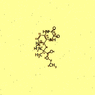 CCOC(=O)C(C)(N)Cc1c(C)ccc2[nH]c(=O)c(=O)[nH]c12